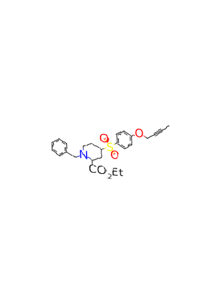 CC#CCOc1ccc(S(=O)(=O)C2CCN(Cc3ccccc3)C(C(=O)OCC)C2)cc1